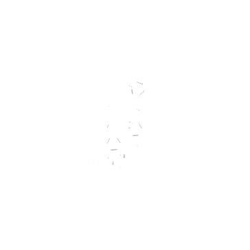 CCC1CN(Cc2nc(C(CC(=O)O)c3ccc(N(N)C4CC4)c(N)c3C)ccc2C)[S+]([O-])c2cccnc2O1